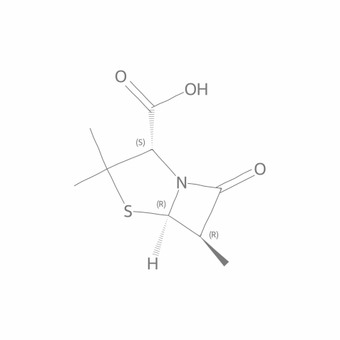 C[C@@H]1C(=O)N2[C@@H]1SC(C)(C)[C@@H]2C(=O)O